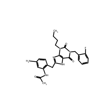 CCCCn1c(=O)n(Cc2ccccc2F)c(=O)c2[nH]c(Cc3ccc(N)cc3NC(C)=O)nc21